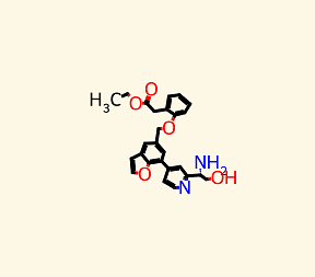 CCOC(=O)Cc1ccccc1OCc1cc(-c2ccnc([C@H](N)CO)c2)c2occc2c1